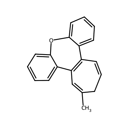 CC1=CC2=C(C=CC1)c1ccccc1Oc1ccccc12